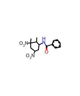 CC1C(NC(=O)c2ccccc2)CC([N+](=O)[O-])CC1(C)[N+](=O)[O-]